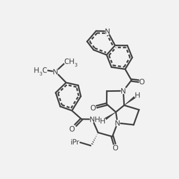 CC(C)C[C@H](NC(=O)c1ccc(N(C)C)cc1)C(=O)N1CC[C@@H]2[C@H]1C(=O)CN2C(=O)c1ccc2ncccc2c1